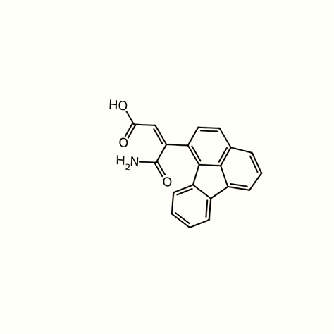 NC(=O)/C(=C\C(=O)O)c1ccc2cccc3c2c1-c1ccccc1-3